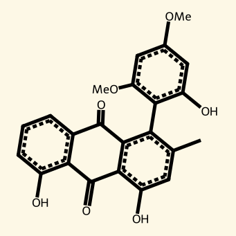 COc1cc(O)c(-c2c(C)cc(O)c3c2C(=O)c2cccc(O)c2C3=O)c(OC)c1